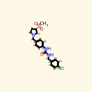 CS(=O)(=O)[C@@H]1CCN(Cc2ccc(NC(=O)NCc3ccc(Cl)cc3)cc2)C1